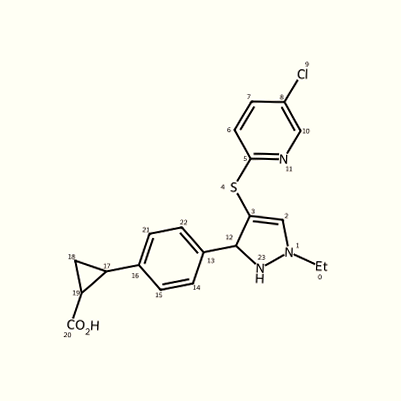 CCN1C=C(Sc2ccc(Cl)cn2)C(c2ccc(C3CC3C(=O)O)cc2)N1